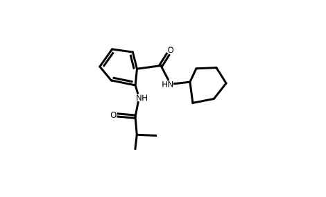 CC(C)C(=O)Nc1ccccc1C(=O)NC1CCCCC1